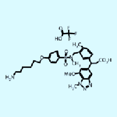 COc1cc(C(CC(=O)O)c2ccc(C)c(CN(C)S(=O)(=O)c3ccc(OCCCCCCN)cc3)c2)cc2nnn(C)c12.O=C(O)C(F)(F)F